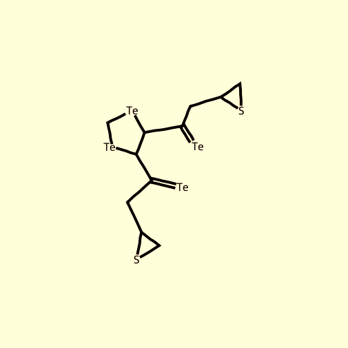 [Te]=C(CC1CS1)C1[Te]C[Te]C1C(=[Te])CC1CS1